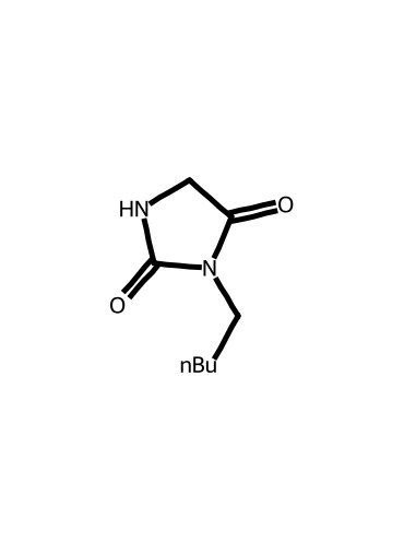 CCCCCN1C(=O)CNC1=O